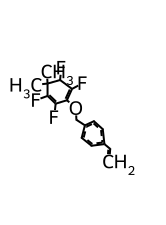 C=Cc1ccc(COC2=C(F)C(F)C(C)(C)C(F)=C2F)cc1